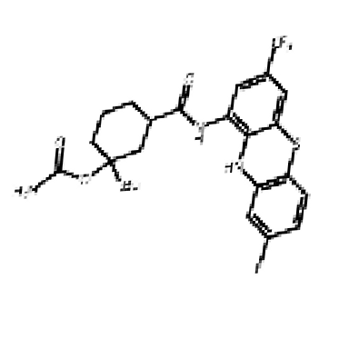 CC(C)(C)C1(OC(N)=O)CCCC(C(=O)Nc2cc(C(F)(F)F)cc3c2Nc2cc(F)ccc2S3)C1